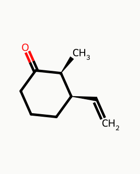 C=C[C@H]1CCCC(=O)[C@H]1C